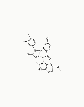 COc1ccc2[nH]c(C)c(C(C(=O)c3ccc(Cl)cc3)c3cc(=O)n(-c4ccc(C)c(C)c4)[nH]3)c2c1